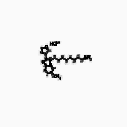 Cc1ccc2nc(-c3ccoc3)c(CCCCCCCCN)n2c1.Cl